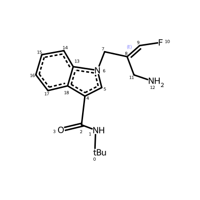 CC(C)(C)NC(=O)c1cn(C/C(=C/F)CN)c2ccccc12